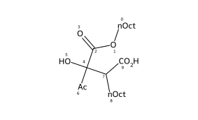 CCCCCCCCOC(=O)C(O)(C(C)=O)C(CCCCCCCC)C(=O)O